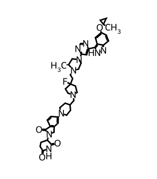 C[C@H]1CN(c2cc(-c3[nH]nc4ccc(OC5(C)CC5)cc34)ncn2)CCN1CCC1(F)CCN(CC2CCN(c3ccc4c(c3)CN(C3CCC(=O)NC3=O)C4=O)CC2)CC1